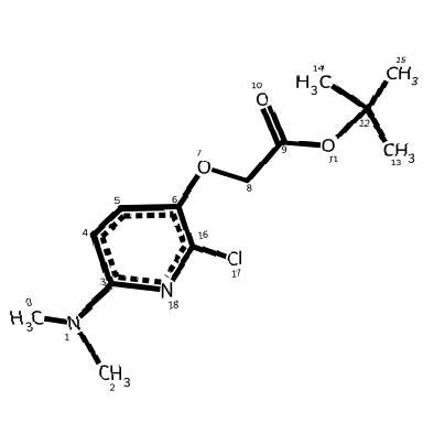 CN(C)c1ccc(OCC(=O)OC(C)(C)C)c(Cl)n1